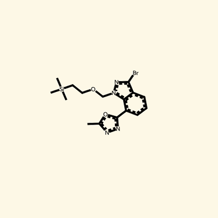 Cc1nnc(-c2cccc3c(Br)nn(COCC[Si](C)(C)C)c23)o1